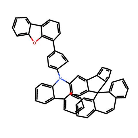 C1=Cc2ccccc2C2(c3ccccc31)c1ccccc1-c1cc(N(c3ccc(-c4cccc5c4oc4ccccc45)cc3)c3ccccc3-c3ccccc3)ccc12